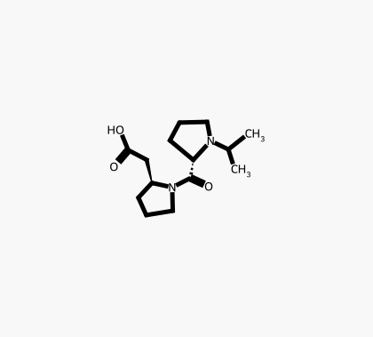 CC(C)N1CCC[C@H]1C(=O)N1CCC[C@H]1CC(=O)O